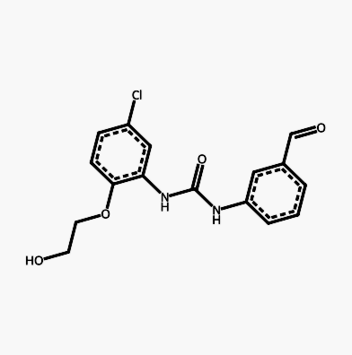 O=Cc1cccc(NC(=O)Nc2cc(Cl)ccc2OCCO)c1